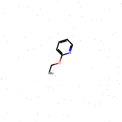 CCCCCOc1cc[c]cn1